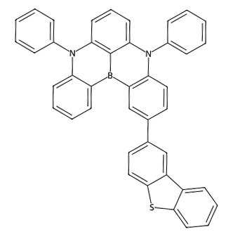 c1ccc(N2c3ccccc3B3c4cc(-c5ccc6sc7ccccc7c6c5)ccc4N(c4ccccc4)c4cccc2c43)cc1